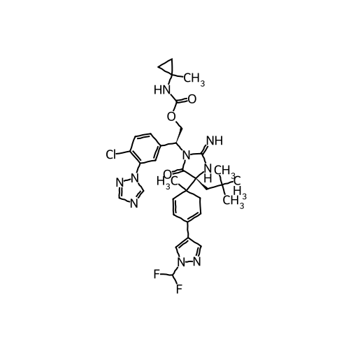 CC(C)(C)C[C@]1(C2(C)C=CC(c3cnn(C(F)F)c3)=CC2)NC(=N)N([C@H](COC(=O)NC2(C)CC2)c2ccc(Cl)c(-n3cncn3)c2)C1=O